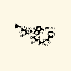 CCCC(NC(=O)[C@@H]1[C@H]2CC[C@@H](OCOC)[C@H]2CN1C(=O)[C@@H](NC(=O)[C@@H](NC(=O)c1cnccn1)C(C)C)C(C)C)C(O)C(=O)NC1CC1